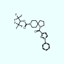 O=C(OC(C(F)(F)F)C(F)(F)F)N1CCC2(CCCN2C(=O)c2ccn(-c3ccccc3)n2)CC1